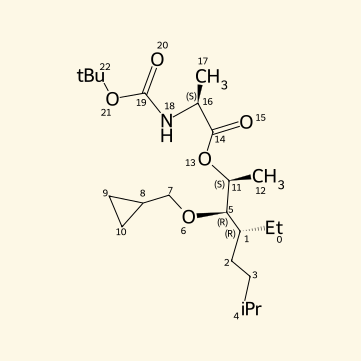 CC[C@H](CCC(C)C)[C@@H](OCC1CC1)[C@H](C)OC(=O)[C@H](C)NC(=O)OC(C)(C)C